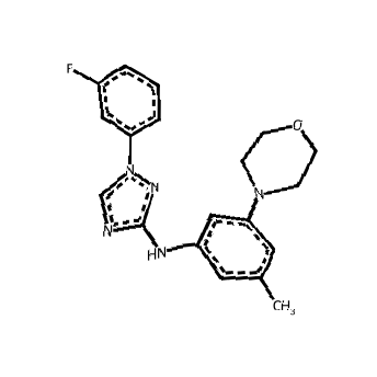 Cc1cc(Nc2ncn(-c3cccc(F)c3)n2)cc(N2CCOCC2)c1